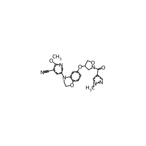 COc1ncc(N2CCOc3ccc(O[C@H]4CON(C(=O)c5cnn(C)c5)C4)cc32)cc1C#N